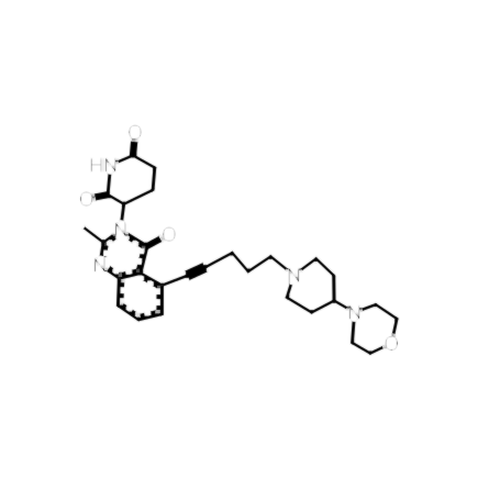 Cc1nc2cccc(C#CCCCN3CCC(N4CCOCC4)CC3)c2c(=O)n1C1CCC(=O)NC1=O